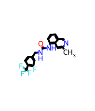 Cc1cc2c(NC(=O)NCc3ccc(C(F)(F)F)c(F)c3)cccc2cn1